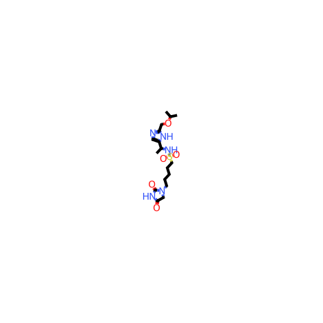 CC(C)OCc1ncc(C(C)NS(=O)(=O)CCCCCN2CC(=O)NC2=O)[nH]1